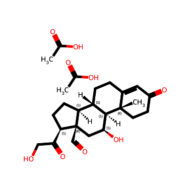 CC(=O)O.CC(=O)O.C[C@]12CCC(=O)C=C1CC[C@@H]1[C@@H]2[C@@H](O)C[C@]2(C=O)[C@@H](C(=O)CO)CC[C@@H]12